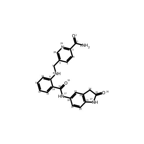 NC(=O)c1ccc(CNc2ccccc2C(=O)Nc2ccc3c(c2)CC(=O)N3)cn1